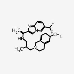 C=C(NCC(C)CN1CCC2=CC(C)CC=C2C1)c1cn2cc(C(F)F)ccc2n1